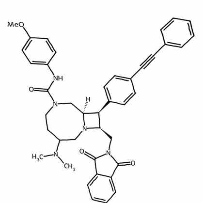 COc1ccc(NC(=O)N2CCC(N(C)C)CN3[C@H](CN4C(=O)c5ccccc5C4=O)[C@H](c4ccc(C#Cc5ccccc5)cc4)[C@@H]3C2)cc1